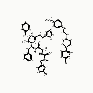 CC(C)c1nc(CN(C)C(=O)N[C@H](C(=O)N[C@@H](Cc2ccccc2)C[C@H](O)[C@H](Cc2ccccc2)NC(=O)OCc2cncs2)C(C)C)cs1.CCOC(=O)c1ccc(OCCC2CCN(c3ccc(C)nn3)CC2)cc1